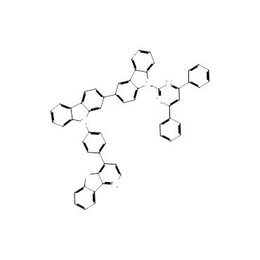 c1ccc(-c2cc(-c3ccccc3)nc(-n3c4ccccc4c4cc(-c5ccc6c7ccccc7n(-c7ccc(-c8ccnc9c8sc8ccccc89)cc7)c6c5)ccc43)n2)cc1